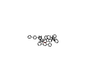 CC1(C)c2cc(N(c3cccc(-c4ccc(-c5ccccc5)cc4)c3)c3ccccc3-c3ccc(-c4ccccc4)cc3)ccc2-c2ccc(-n3c4ccccc4c4ccccc43)cc21